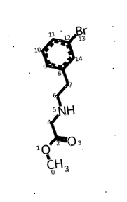 COC(=O)CNCCc1cccc(Br)c1